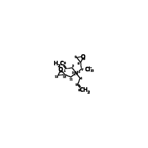 C=CC[N+](CC=C)(CC1CO1)CC1CO1.[Cl-]